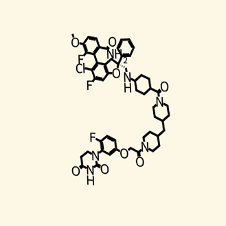 COc1ccc(C(N)=O)c(-c2c(Cl)c(F)cc3c2[C@H](C)[C@@](CNC2CCC(C(=O)N4CCC(CC5CCN(C(=O)COc6ccc(F)c(N7CCC(=O)NC7=O)c6)CC5)CC4)CC2)(c2ccccc2)O3)c1F